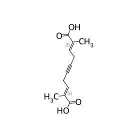 C/C(=C\CC#CC/C=C(\C)C(=O)O)C(=O)O